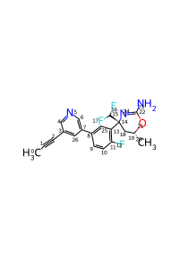 CC#Cc1cncc(-c2ccc(F)c([C@@]3(C(F)F)C[C@@H](C)OC(N)=N3)c2)c1